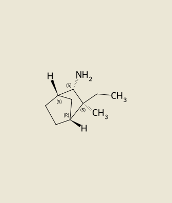 CC[C@@]1(C)[C@@H]2CC[C@@H](C2)[C@@H]1N